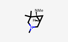 CN[C@@]12C[C@@H]1CN(C)CC2(C)C